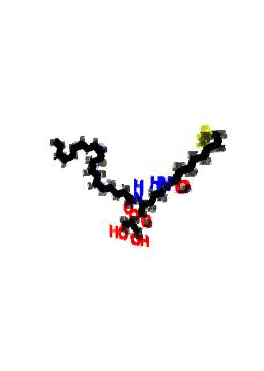 CC/C=C\C/C=C\C/C=C\C/C=C\C/C=C\CCCC(=O)N[C@@H](CCCNC(=O)CCCCC1CCSS1)C(=O)OC(CO)CO